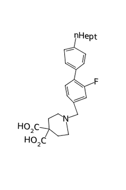 CCCCCCCc1ccc(-c2ccc(CN3CCC(C(=O)O)(C(=O)O)CC3)cc2F)cc1